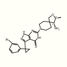 C[C@@H]1OCC2(CCN(c3nc4[nH]nc(C5(c6cccc(Br)c6)CC5)c4c(=O)[nH]3)CC2)[C@@H]1N